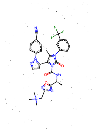 Cc1c(-c2ccnn2-c2ccc(C#N)cc2)n(C(=O)N[C@@H](C)c2nc(C[N+](C)(C)C)no2)c(=O)n1-c1cccc(C(F)(F)F)c1